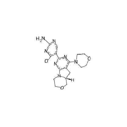 Nc1ncc(-c2nc(N3CCOCC3)c3c(n2)N2CCOC[C@H]2C3)c(Cl)n1